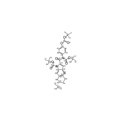 CC(C)(C)OC(=O)Oc1ccc(N(C(=O)OC(C)(C)C)C(=O)c2cc3nc4c(cc3n2C(=O)OC(C)(C)C)C[C@@H](C(C)(C)C)CC4)cc1